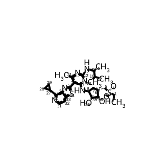 CCS(=O)(=O)C[C@H]1CC(Nc2nc(N[C@H](C)C(C)C)nc(C)c2-c2nc3c(C4CC4)nccc3s2)[C@H](O)[C@@H]1O